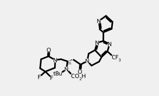 CC(C)(C)N(C(=O)O)[C@@H](CC(=O)N1CCc2c(nc(-c3cccnc3)nc2C(F)(F)F)C1)CN1CC(F)(F)CCC1=O